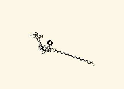 CCCCCCCCCCCCCCCCCCOCCN(c1ccccc1)c1nc2c(ncn2CCOCP(=O)(O)O)c(=O)[nH]1